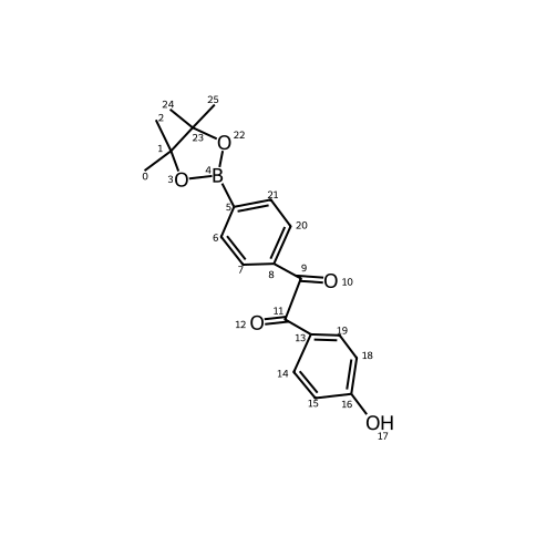 CC1(C)OB(c2ccc(C(=O)C(=O)c3ccc(O)cc3)cc2)OC1(C)C